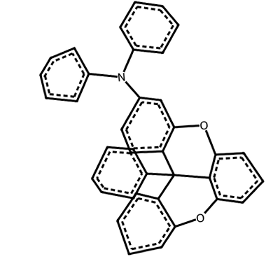 c1ccc(N(c2ccccc2)c2ccc3c(c2)Oc2cccc4c2C3(c2ccccc2)c2ccccc2O4)cc1